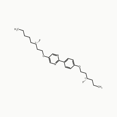 CCCCC[C@H](F)CCOc1cnc(-c2ccc(OCC[C@@H](F)CCC)cc2)nc1